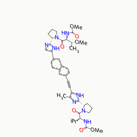 COC(=O)N[C@H](C(=O)N1CCC[C@H]1c1nc(C)c(C#Cc2ccc3cc(-c4cnc([C@@H]5CCCN5C(=O)[C@@H](NC(=O)OC)[C@@H](C)OC)[nH]4)ccc3c2)[nH]1)C(C)C